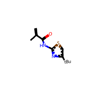 C=C(C)C(=O)Nc1nc(C(C)(C)C)cs1